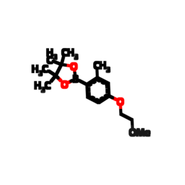 COCCOc1ccc(B2OC(C)(C)C(C)(C)O2)c(C)c1